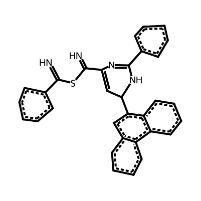 N=C(SC(=N)c1ccccc1)C1=CC(c2cc3ccccc3c3ccccc23)NC(c2ccccc2)=N1